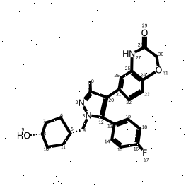 Cc1nn(C[C@H]2CC[C@@H](O)CC2)c(-c2ccc(F)cc2)c1-c1ccc2c(c1)NC(=O)CO2